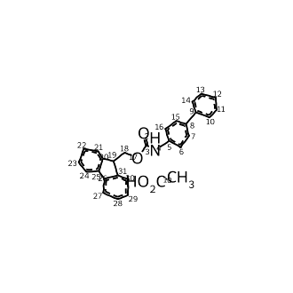 CC(=O)O.O=C(Nc1ccc(-c2ccccc2)cc1)OCC1c2ccccc2-c2ccccc21